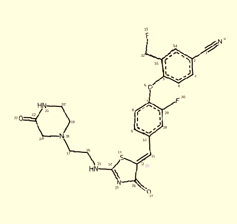 N#Cc1ccc(Oc2ccc(/C=C3\SC(NCCN4CCNC(=O)C4)=NC3=O)cc2F)c(CF)c1